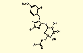 COc1ccc(Cc2c(OC3O[C@H](COC(=O)C(C)C)[C@@H](O)[C@H](O)[C@H]3O)nn(C(C)C)c2C)c(F)c1